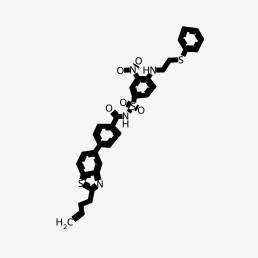 C=CCCc1nc2cc(-c3ccc(C(=O)NS(=O)(=O)c4ccc(NCCSc5ccccc5)c([N+](=O)[O-])c4)cc3)ccc2s1